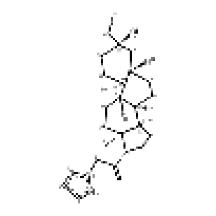 C=C(Cn1nccn1)[C@H]1CC[C@H]2[C@@H]3CC[C@H]4C[C@@](O)(CF)CC[C@@H]4[C@H]3CC[C@]12C